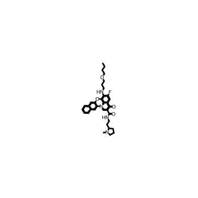 CCCCOCCCNc1c(F)cc2c(=O)c(C(=O)NCCC3CCCN3C)cn3c2c1Oc1cc2ccccc2cc1-3